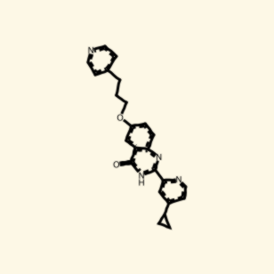 O=c1[nH]c(-c2cc(C3CC3)ccn2)nc2ccc(OCCCc3ccncc3)cc12